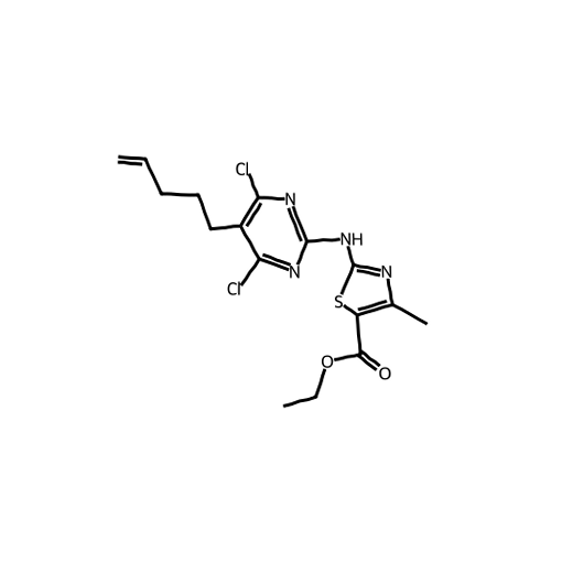 C=CCCCc1c(Cl)nc(Nc2nc(C)c(C(=O)OCC)s2)nc1Cl